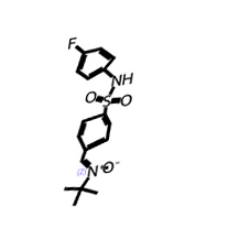 CC(C)(C)/[N+]([O-])=C/c1ccc(S(=O)(=O)Nc2ccc(F)cc2)cc1